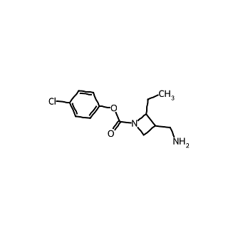 CCC1C(CN)CN1C(=O)Oc1ccc(Cl)cc1